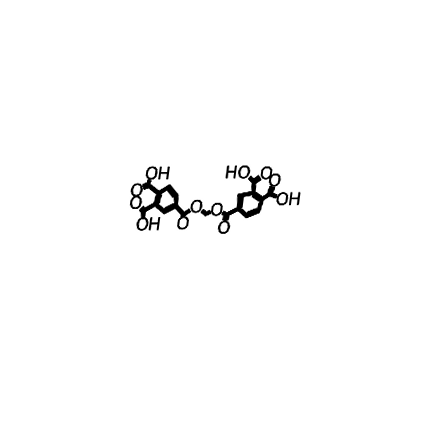 O=C(OCOC(=O)c1ccc(C(=O)O)c(C(=O)O)c1)c1ccc(C(=O)O)c(C(=O)O)c1